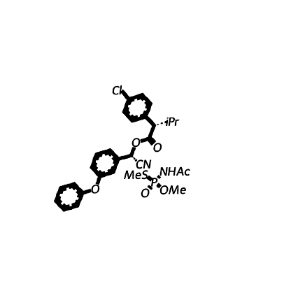 CC(C)[C@H](C(=O)O[C@H](C#N)c1cccc(Oc2ccccc2)c1)c1ccc(Cl)cc1.COP(=O)(NC(C)=O)SC